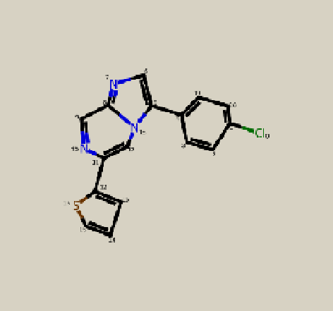 Clc1ccc(-c2cnc3cnc(-c4cccs4)cn23)cc1